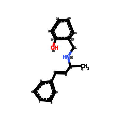 CC(/C=C/c1ccccc1)NCc1ccccc1O